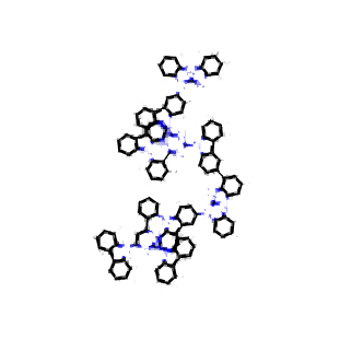 c1ccc(-n2c3ccccc3c3cc(-n4c5ccccc5n5c6cccc(-c7ccc8c(c7)c7ccccc7n8-c7nc(-c8ccccc8-n8c9ccccc9c9ccccc98)nc(-n8c9ccccc9c9cc(-n%10c%11ccccc%11n%11c%12ccccc%12nc%10%11)ccc98)n7)c6nc45)ccc32)c(-c2cc(-n3c4ccccc4c4ccccc43)nc(-n3c4ccccc4c4ccccc43)n2)c1